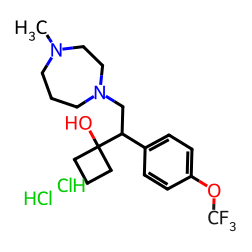 CN1CCCN(CC(c2ccc(OC(F)(F)F)cc2)C2(O)CCC2)CC1.Cl.Cl